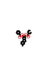 C/C=C\C(=C/C)C(=O)OC1C2CC(C1OC(=O)c1ccccc1)C1c3ccc(C)cc3CC21